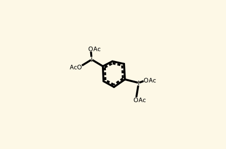 CC(=O)OI(OC(C)=O)c1ccc(I(OC(C)=O)OC(C)=O)cc1